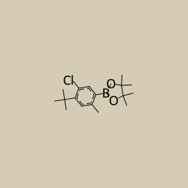 Cc1cc(C(C)(C)C)c(Cl)cc1B1OC(C)(C)C(C)(C)O1